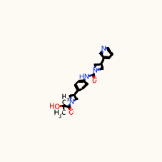 CC(C)(O)C(=O)N1CC(c2ccc(NC(=O)N3CC(c4cccnc4)C3)cc2)C1